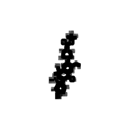 CCc1cc2c(cc1N1CCN(C(=O)OC(C)(C)C)CC1)C(C)(C)c1[nH]c3cc(Br)ccc3c1C2=O